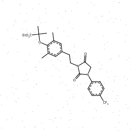 CCOC(=O)C(C)(C)Oc1c(C)cc(CCN2C(=O)CN(c3ccc(C(F)(F)F)cc3)C2=O)cc1C